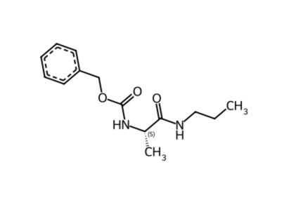 CCCNC(=O)[C@H](C)NC(=O)OCc1ccccc1